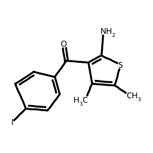 Cc1sc(N)c(C(=O)c2ccc(I)cc2)c1C